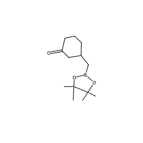 CC1(C)OB(CC2CCCC(=O)C2)OC1(C)C